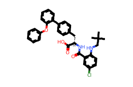 CC(C)(C)CNc1ccc(Cl)cc1C(=O)N[C@@H](Cc1ccc(-c2ccccc2Oc2ccccc2)cc1)C(=O)O